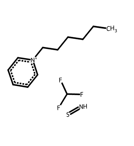 CCCCCC[n+]1ccccc1.FC(F)F.N=S